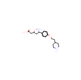 O=C(O)CC1CC(c2ccc(OCCC3CCNCC3)cc2)NO1